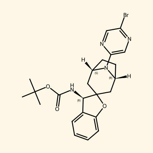 CC(C)(C)OC(=O)N[C@@H]1c2ccccc2OC12C[C@H]1CC[C@@H](C2)N1c1cnc(Br)cn1